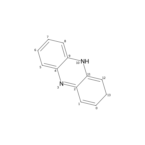 C1=CC2=Nc3ccccc3NC2=CC1